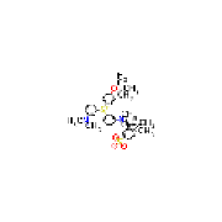 CC(C)(C)c1ccc(S(=O)(=O)[O-])cc1.CN(C)c1cccc([S+](c2ccc(OC(C)(C)C)cc2)c2cccc(N(C)C)c2)c1